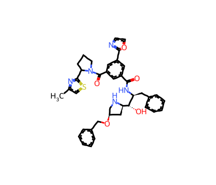 Cc1csc(C2CCCN2C(=O)c2cc(C(=O)N[C@@H](Cc3ccccc3)[C@H](O)[C@H]3C[C@@H](OCc4ccccc4)CN3)cc(-c3ncco3)c2)n1